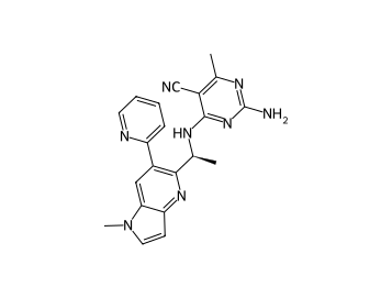 Cc1nc(N)nc(N[C@@H](C)c2nc3ccn(C)c3cc2-c2ccccn2)c1C#N